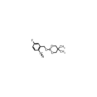 CC1(C)COB(OCc2cc(F)ccc2[N+]#N)OC1